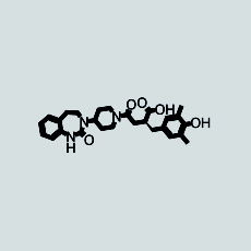 Cc1cc(C[C@@H](CC(=O)N2CCC(N3CCc4ccccc4NC3=O)CC2)C(=O)O)cc(C)c1O